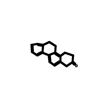 O=C1CCc2c(ccc3c2CCc2ccccc2-3)C1